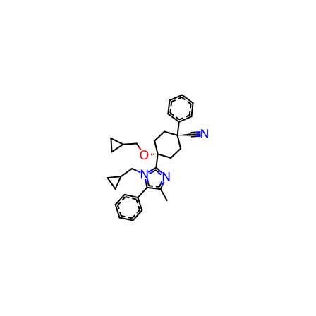 Cc1nc([C@]2(OCC3CC3)CC[C@@](C#N)(c3ccccc3)CC2)n(CC2CC2)c1-c1ccccc1